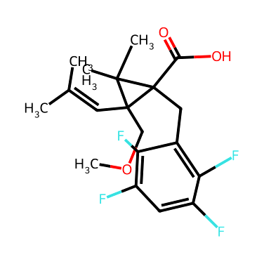 COCC1(C=C(C)C)C(C)(C)C1(Cc1c(F)c(F)cc(F)c1F)C(=O)O